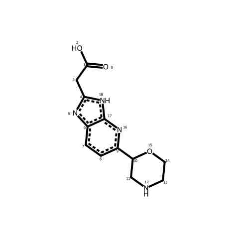 O=C(O)Cc1nc2ccc(C3CNCCO3)nc2[nH]1